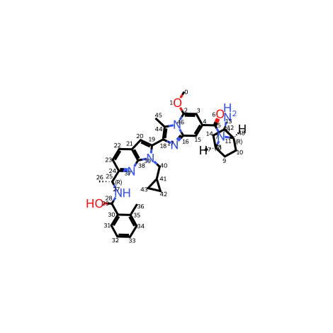 COc1cc(C(=O)N2[C@H]3CC[C@@H]2[C@H](N)C3)cc2nc(-c3cc4ccc([C@@H](C)NC(O)c5ccccc5C)nc4n3CC3CC3)c(C)n12